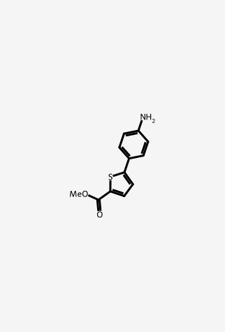 COC(=O)c1ccc(-c2ccc(N)cc2)s1